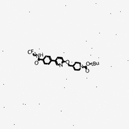 CC(C)(C)OC(=O)N1CCC(COc2ccc(C3=CCC(C(=O)NCC(F)(F)F)CC3)cn2)CC1